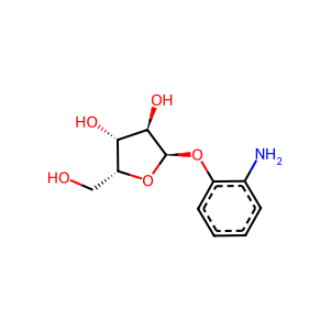 Nc1ccccc1O[C@H]1O[C@H](CO)[C@H](O)[C@H]1O